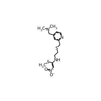 CSC(=C[N+](=O)[O-])NCCSCc1cc(CN(C)C)ccn1